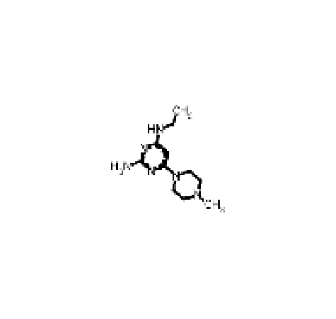 CCNc1cc(N2CCN(C)CC2)nc(N)n1